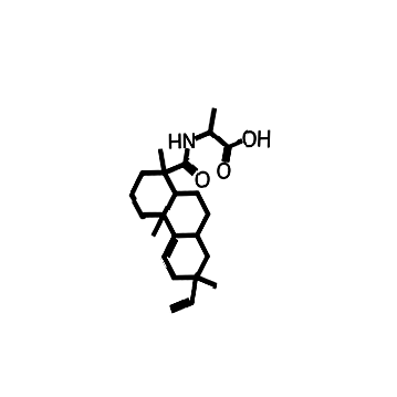 C=CC1(C)CC=C2C(CCC3C(C)(C(=O)NC(C)C(=O)O)CCCC23C)C1